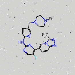 CCN1CCN(Cc2ccc(Nc3ncc(F)c(-c4ccc5nnc(C(F)(F)F)n5c4)n3)nc2)CC1